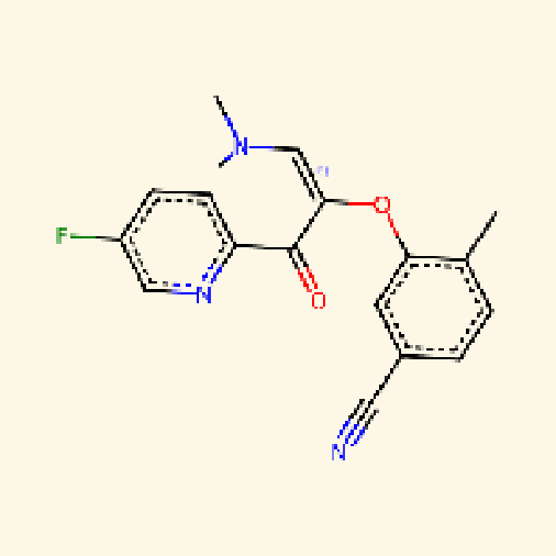 Cc1ccc(C#N)cc1O/C(=C/N(C)C)C(=O)c1ccc(F)cn1